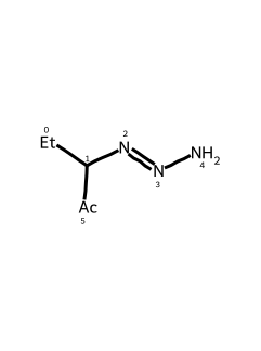 CCC(N=NN)C(C)=O